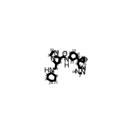 Cn1cnnc1CC1(c2cccc(NC(=O)c3cc(CNC4CCCCC4)cn4ccnc34)c2)COC1